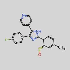 CC1=CC(=S=O)C(c2nc(-c3ccc(F)cc3)c(-c3ccncc3)[nH]2)C=C1